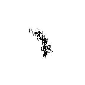 Cc1ccc2nccc(Nc3cccc(NC(=O)c4ccc(Nc5ccnc(-c6cc(Nc7cccc(N8C(=O)c9ccc(Nc%10ccncc%10)cc9C8(C)C)c7)ccn6)c5)cc4)c3)c2c1